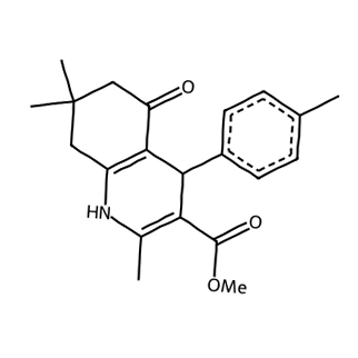 COC(=O)C1=C(C)NC2=C(C(=O)CC(C)(C)C2)C1c1ccc(C)cc1